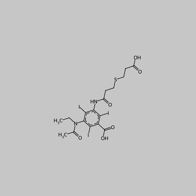 CCN(C(C)=O)c1c(I)c(NC(=O)CCSCCC(=O)O)c(I)c(C(=O)O)c1I